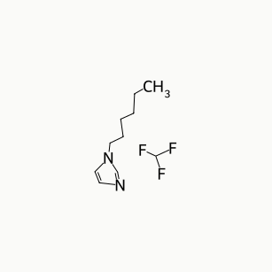 CCCCCCn1ccnc1.FC(F)F